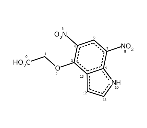 O=C(O)COc1c([N+](=O)[O-])cc([N+](=O)[O-])c2[nH]c[c]c12